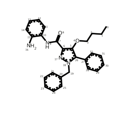 CCCCOc1c(C(=O)Nc2ccccc2N)nn(Cc2ccccc2)c1-c1ccccc1